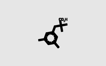 Cc1cc(C)cc(CC(C)(C)C(=O)O)c1